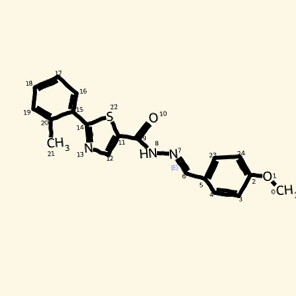 COc1ccc(/C=N/NC(=O)c2cnc(-c3ccccc3C)s2)cc1